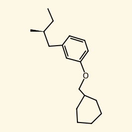 CC[C@H](C)Cc1cccc(OCC2CCCCC2)c1